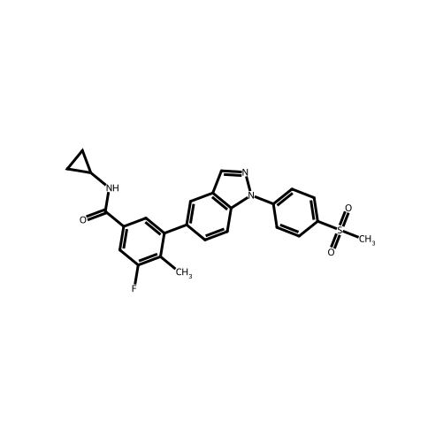 Cc1c(F)cc(C(=O)NC2CC2)cc1-c1ccc2c(cnn2-c2ccc(S(C)(=O)=O)cc2)c1